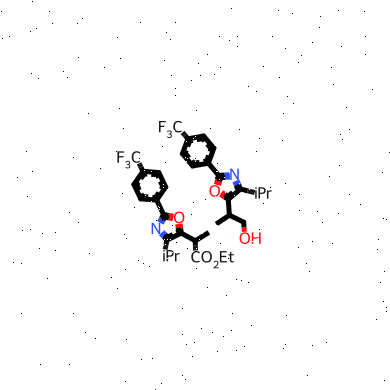 CC(C)c1nc(-c2ccc(C(F)(F)F)cc2)oc1C(C)CO.CCOC(=O)C(C)c1oc(-c2ccc(C(F)(F)F)cc2)nc1C(C)C